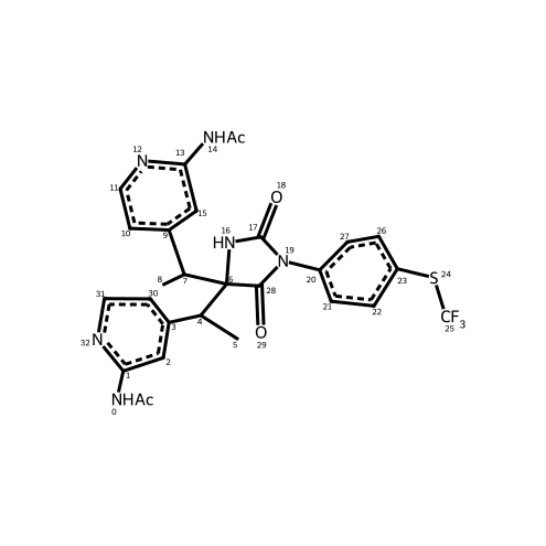 CC(=O)Nc1cc(C(C)C2(C(C)c3ccnc(NC(C)=O)c3)NC(=O)N(c3ccc(SC(F)(F)F)cc3)C2=O)ccn1